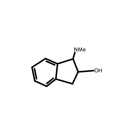 [CH2]NC1c2ccccc2CC1O